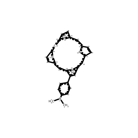 CN(C)c1ccc(-c2cc3cc4nc(cc5ccc(cc6nc(cc2[nH]3)C=C6)[nH]5)C=C4)cc1